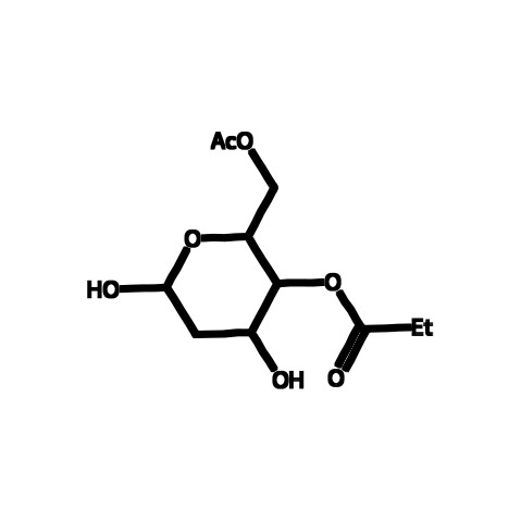 CCC(=O)OC1C(O)CC(O)OC1COC(C)=O